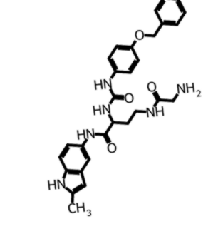 Cc1cc2cc(NC(=O)C(CCNC(=O)CN)NC(=O)Nc3ccc(OCc4ccccc4)cc3)ccc2[nH]1